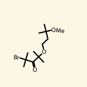 COC(C)(C)CCOC(C)(C)C(=O)C(C)(C)Br